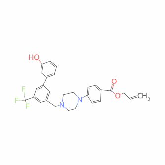 C=CCOC(=O)c1ccc(N2CCN(Cc3cc(-c4cccc(O)c4)cc(C(F)(F)F)c3)CC2)cc1